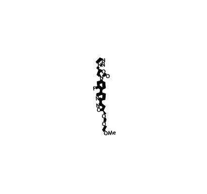 COCCOCOC[C@@H]1CC(c2ccc(-c3ccc(N4C[C@H](Cn5ccnn5)OC4=O)cc3F)cn2)=NO1